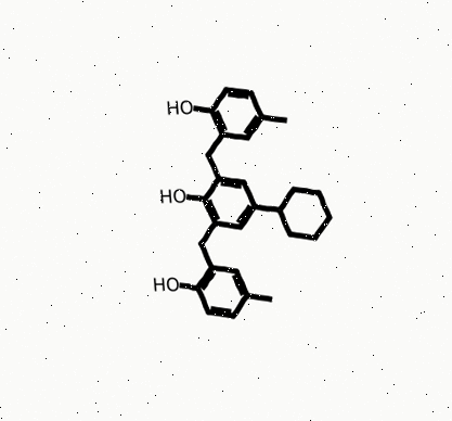 Cc1ccc(O)c(Cc2cc(C3CCCCC3)cc(Cc3cc(C)ccc3O)c2O)c1